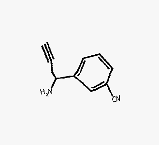 C#CC(N)c1cccc(C#N)c1